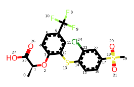 C[C@H](Oc1ccc(C(F)(F)F)cc1Sc1ccc(S(C)(=O)=O)cc1Cl)C(=O)O